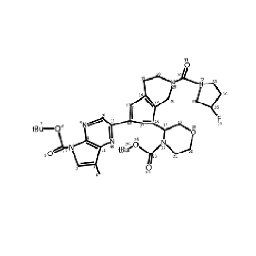 Cc1cn(C(=O)OC(C)(C)C)c2ncc(-c3cc4c(c(C5COCCN5C(=O)OC(C)(C)C)c3)CN(C(=O)N3CCC(F)C3)CC4)nc12